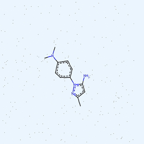 Cc1cc(N)n(-c2ccc(N(C)C)cc2)n1